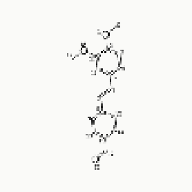 COc1ccc(/C=C/c2ccc(C=O)cc2)cc1OC